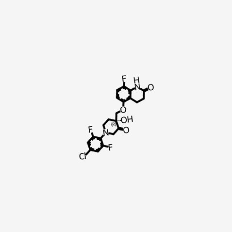 O=C1CCc2c(OC[C@]3(O)CCN(c4c(F)cc(Cl)cc4F)CC3=O)ccc(F)c2N1